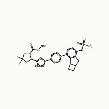 CC(C)(C)OC(=O)N1CC(F)(F)CC1c1nc(-c2ccc(-c3ccc(OS(=O)(=O)C(F)(F)F)c4c3C3CCC3C4)cc2)c[nH]1